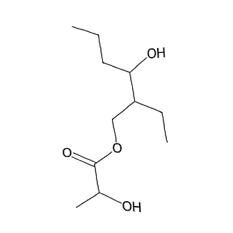 CCCC(O)C(CC)COC(=O)C(C)O